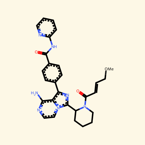 COCC=CC(=O)N1CCCCC1c1nc(-c2ccc(C(=O)Nc3ccccn3)cc2)c2c(N)nccn12